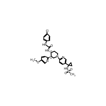 COc1ccc([C@@H]2CN(c3ccc(C4(NS(C)(=O)=O)CC4)cn3)CC[C@H]2NC(=O)Nc2ccc(Cl)cc2)nc1